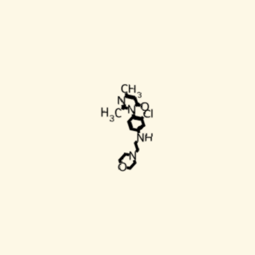 Cc1cc(=O)n(-c2ccc(NCCN3CCOCC3)cc2Cl)c(C)n1